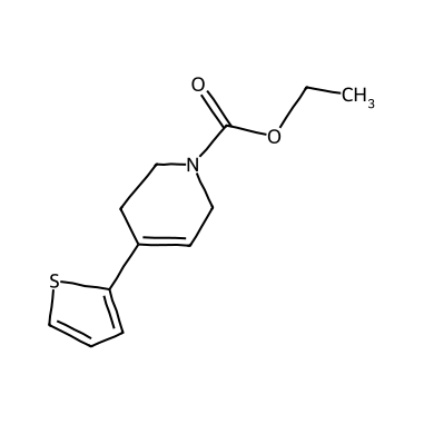 CCOC(=O)N1CC=C(c2cccs2)CC1